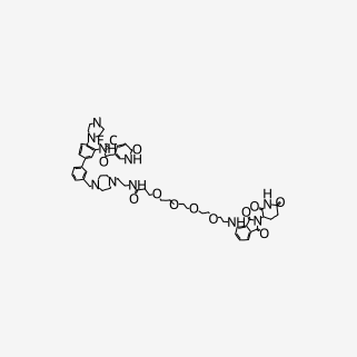 CN1CCN(c2ccc(-c3cccc(CN4CCN(CCNC(=O)CCOCCOCCOCCOCCNc5cccc6c5C(=O)N(C5CCC(=O)NC5=O)C6=O)CC4)c3)cc2NC(=O)c2c[nH]c(=O)cc2C(F)(F)F)CC1